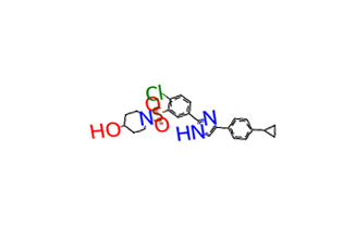 O=S(=O)(c1cc(-c2nc(-c3ccc(C4CC4)cc3)c[nH]2)ccc1Cl)N1CCC(O)CC1